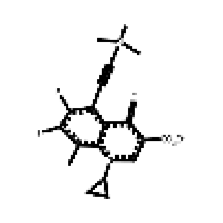 CCOC(=O)c1cn(C2CC2)c2c(F)c(F)c(F)c(C#C[Si](C)(C)C)c2c1=O